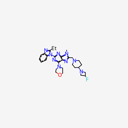 CCc1nc2ccccc2n1-c1nc(N2CCOCC2)c2nc(CN3CCC(N4CC(F)C4)CC3)n(C)c2n1